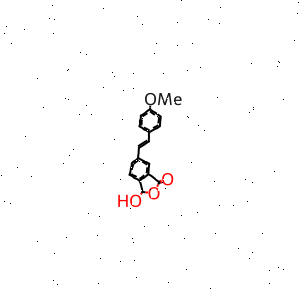 COc1ccc(C=Cc2ccc3c(c2)C(=O)OC3O)cc1